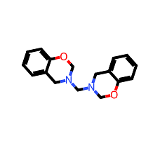 c1ccc2c(c1)CN(CN1COc3ccccc3C1)CO2